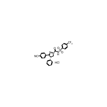 Cl.N#Cc1ccc(C2=NN(C(=O)NS(=O)(=O)c3ccc(C(F)(F)F)cc3)C[C@@H]2c2ccccc2)cc1